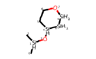 C[SiH](C)O[SiH]1CCO[SiH2][SiH2]1